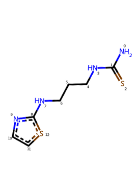 NC(=S)NCCCNc1nccs1